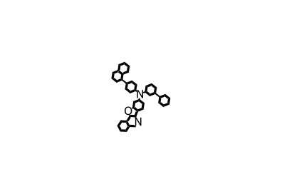 c1ccc(-c2cccc(N(c3ccc(-c4cccc5ccccc45)cc3)c3ccc4c(c3)oc3c5ccccc5cnc43)c2)cc1